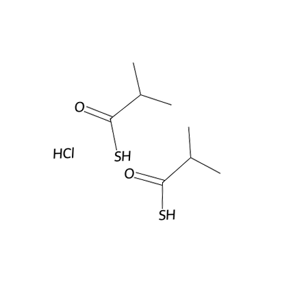 CC(C)C(=O)S.CC(C)C(=O)S.Cl